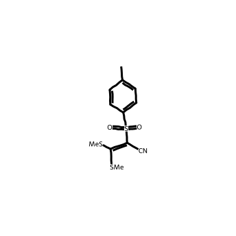 CSC(SC)=C(C#N)S(=O)(=O)c1ccc(C)cc1